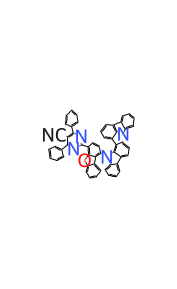 N#Cc1c(-c2ccccc2)nc(-c2ccc(-n3c4ccccc4c4ccc5c(c6cccc7c8ccccc8n5c76)c43)c3c2oc2ccccc23)nc1-c1ccccc1